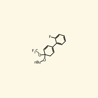 CCCCOC1(OC(F)(F)F)C=CC(c2ccccc2F)=CC1